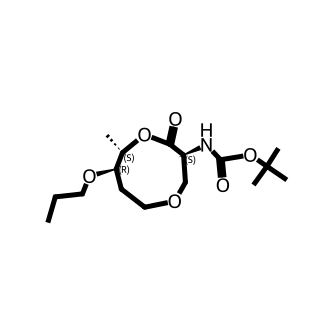 CCCO[C@@H]1CCOC[C@H](NC(=O)OC(C)(C)C)C(=O)O[C@H]1C